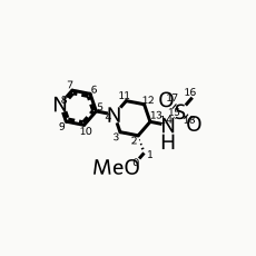 COC[C@@H]1CN(c2ccncc2)CCC1NS(C)(=O)=O